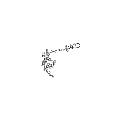 CC(C)[C@H](NC(=O)CCOCCOCCOCCOCCNC(=O)c1ccc2nc3c(nc2c1)CSc1cccccccc(c1)SC3)C(=O)N[C@@H](CCCNC(N)=O)C(=O)Nc1ccc(COC(=O)N(C)CCN(C)C(=O)Oc2cc3c(c4ccccc24)[C@H](CCl)CN3C(=O)c2cc3cc(OCCN(C)C)ccc3[nH]2)cc1